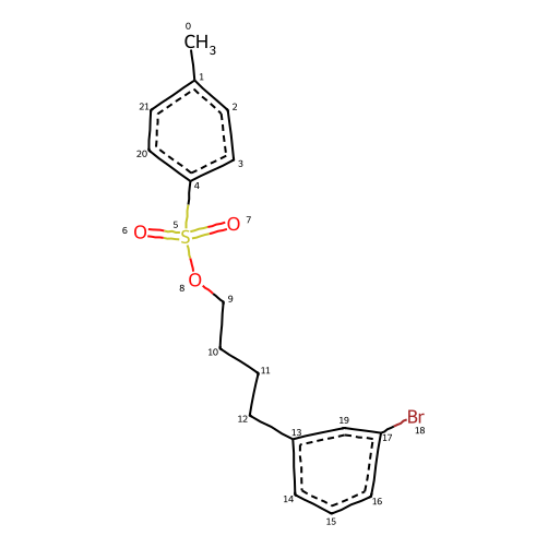 Cc1ccc(S(=O)(=O)OCCCCc2cccc(Br)c2)cc1